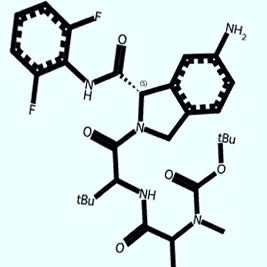 CC(C(=O)NC(C(=O)N1Cc2ccc(N)cc2[C@H]1C(=O)Nc1c(F)cccc1F)C(C)(C)C)N(C)C(=O)OC(C)(C)C